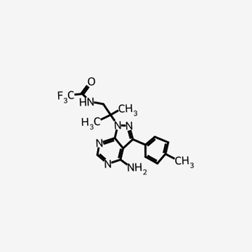 Cc1ccc(-c2nn(C(C)(C)CNC(=O)C(F)(F)F)c3ncnc(N)c23)cc1